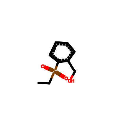 CCS(=O)(=O)c1ccccc1CO